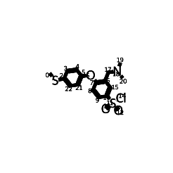 CSc1ccc(Oc2ccc(S(=O)(=O)Cl)cc2CN(C)C)cc1